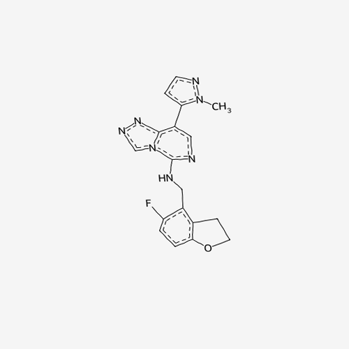 Cn1nccc1-c1cnc(NCc2c(F)ccc3c2CCO3)n2cnnc12